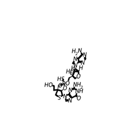 Nc1nc2c(ncn2[C@@H]2SC[C@](F)(CCO)[C@H]2OP(=O)(S)OC[C@@]23CO[C@@H]([C@H](n4cnc5c(N)ncnc54)O2)[C@@H]3O)c(=O)[nH]1